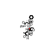 Cc1cn([C@@H]2O[C@@]3(COP(=O)(N[C@@H](C)C(=O)OC(C)C)Oc4ccccc4)CO[C@@H]2[C@@H]3O)c(=O)[nH]c1=O